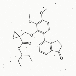 CCC(CC)OC(=O)C1(COc2c(-c3cccc4c3CCC4=O)ccc(OC)c2OC)CC1